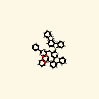 c1ccc(-c2nc(Cc3cc(-c4c(-c5ccccc5)cccc4-c4ccccc4)cnc3-n3c4ccccc4c4c5oc6ccccc6c5ccc43)nc(-c3ccccc3)n2)cc1